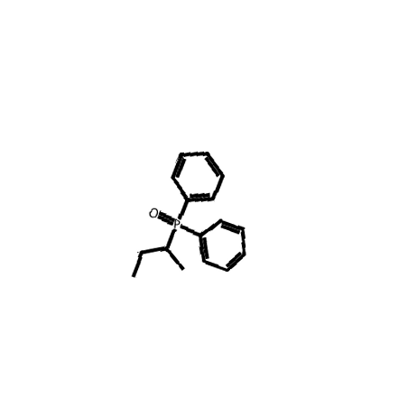 C[CH]C(C)P(=O)(c1ccccc1)c1ccccc1